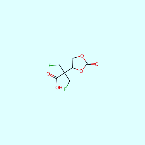 O=C1OCC(C(CF)(CF)C(=O)O)O1